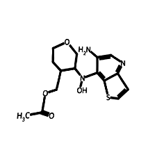 CC(=O)OCC1CCOCC1N(O)c1c(N)cnc2ccsc12